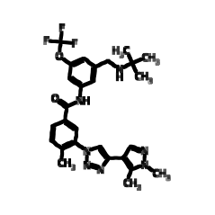 Cc1ccc(C(=O)Nc2cc(CNC(C)(C)C)cc(OC(F)(F)F)c2)cc1-n1cc(-c2cnn(C)c2C)nn1